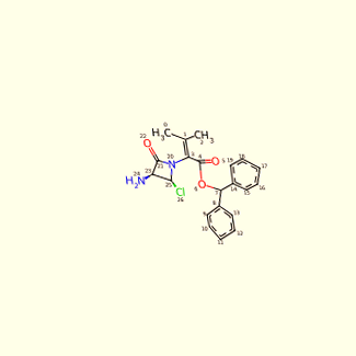 CC(C)=C(C(=O)OC(c1ccccc1)c1ccccc1)N1C(=O)[C@H](N)[C@@H]1Cl